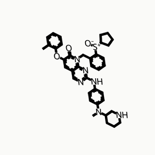 Cc1ccccc1Oc1cc2cnc(Nc3ccc(N(C)C4CCCNC4)cc3)nc2n(Cc2ccccc2[S+]([O-])C2CCCC2)c1=O